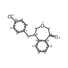 O=C1COCN(Cc2ccc(Cl)cc2)c2ccccc21